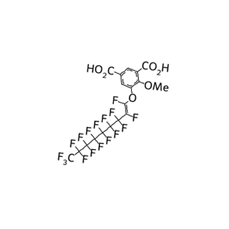 COc1c(OC(F)=C(F)C(F)(F)C(F)(F)C(F)(F)C(F)(F)C(F)(F)C(F)(F)C(F)(F)F)cc(C(=O)O)cc1C(=O)O